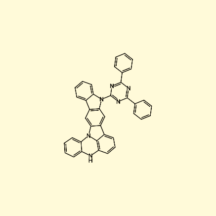 c1ccc(-c2nc(-c3ccccc3)nc(-n3c4ccccc4c4cc5c(cc43)c3cccc4c3n5-c3ccccc3N4)n2)cc1